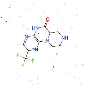 O=C1Nc2ncc(C(F)(F)F)nc2N2CCNCC12